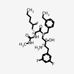 CCCCC(F)C[C@@H](NC(=O)NC)C(=O)N(Cc1cccc(CC)c1)C[C@@H](O)[C@@H](N)Cc1cc(F)cc(F)c1